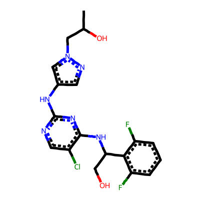 CC(O)Cn1cc(Nc2ncc(Cl)c(NC(CO)c3c(F)cccc3F)n2)cn1